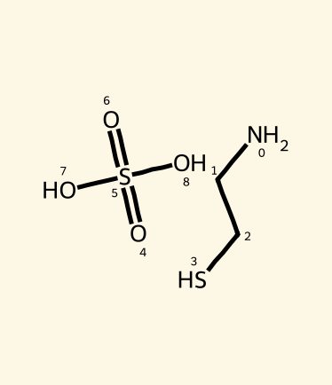 NCCS.O=S(=O)(O)O